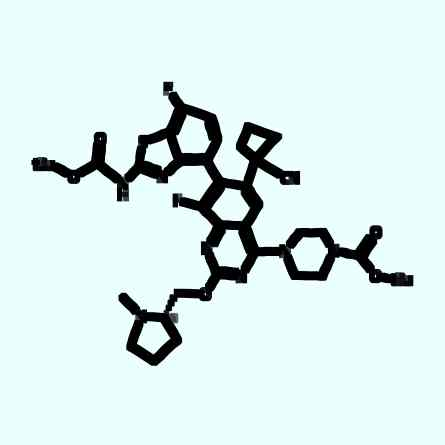 CN1CCC[C@H]1COc1nc(N2CCN(C(=O)OC(C)(C)C)CC2)c2cc(C3(C#N)CCC3)c(-c3ccc(F)c4sc(NC(=O)OC(C)(C)C)nc34)c(F)c2n1